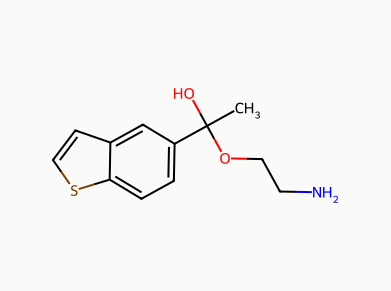 CC(O)(OCCN)c1ccc2sccc2c1